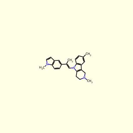 C/C(=C\n1c2c(c3cc(C)ccc31)CN(C)CC2)c1ccc2c(ccn2C)c1